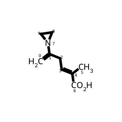 C=C(CC=C(C)C(=O)O)N1CC1